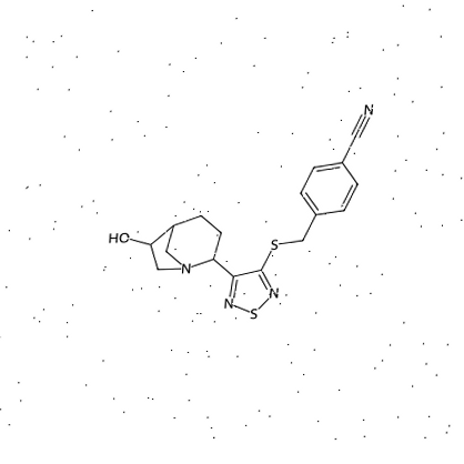 N#Cc1ccc(CSc2nsnc2C2CCC3CN2CC3O)cc1